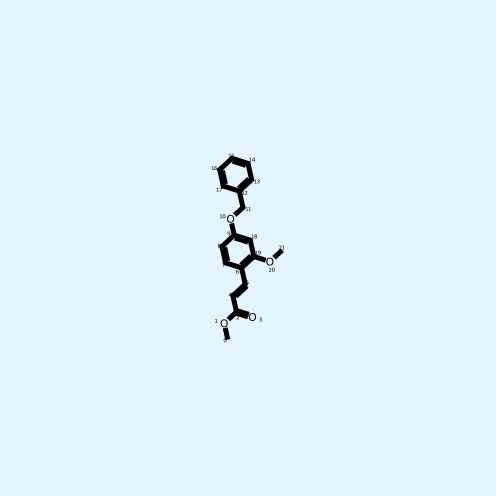 COC(=O)/C=C/c1ccc(OCc2ccccc2)cc1OC